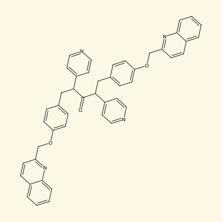 O=C(C(Cc1ccc(OCc2ccc3ccccc3n2)cc1)c1ccncc1)C(Cc1ccc(OCc2ccc3ccccc3n2)cc1)c1ccncc1